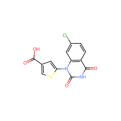 O=C(O)c1csc(-n2c(=O)[nH]c(=O)c3ccc(Cl)cc32)c1